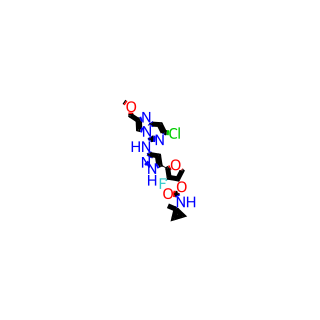 COCc1cn2c(Nc3cc([C@@H]4OC[C@H](OC(=O)NC5(C)CC5)[C@@H]4F)[nH]n3)nc(Cl)cc2n1